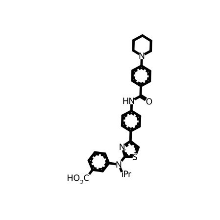 CC(C)N(c1cccc(C(=O)O)c1)c1nc(-c2ccc(NC(=O)c3ccc(N4CCCCC4)cc3)cc2)cs1